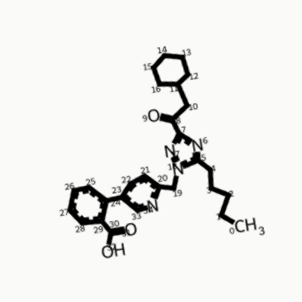 CCCCCc1nc(C(=O)CC2CCCCC2)nn1Cc1ccc(-c2ccccc2C(=O)O)cn1